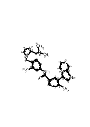 Cc1ccc(C(=O)Nc2ccc(Cn3ccnc3CN(C)C)c(C(F)(F)F)c2)cc1-c1cnc2cnccn12